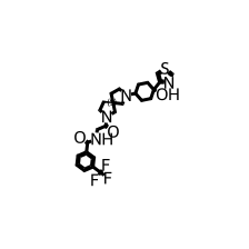 O=C(NCC(=O)N1CC[C@]2(CCN(C3CCC(O)(c4cscn4)CC3)C2)C1)c1cccc(C(F)(F)F)c1